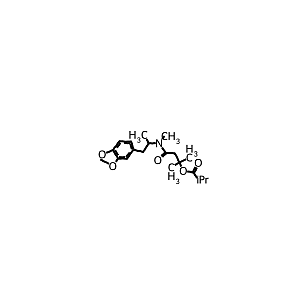 CC(C)C(=O)OC(C)(C)CC(=O)N(C)C(C)Cc1ccc2c(c1)OCO2